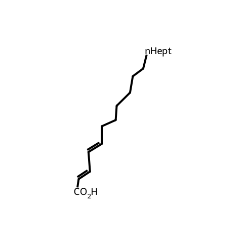 CCCCCCCCCCCCCC=CC=CC(=O)O